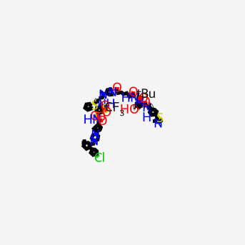 Cc1ncsc1-c1ccc([C@H](C)NC(=O)[C@@H]2C[C@@H](O)CN2C(=O)[C@@H](NC(=O)CCCCCC(=O)N2CCC(N(C)CC[C@H](CSc3ccccc3)Nc3ccc(S(=O)(=O)NC(=O)c4ccc(N5CCN(CC6=C(c7ccc(Cl)cc7)CCC(C)(C)C6)CC5)cc4)cc3S(=O)(=O)C(F)(F)F)CC2)C(C)(C)C)cc1